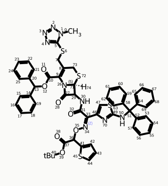 Cn1nnnc1SCC1=C(C(=O)OC(c2ccccc2)c2ccccc2)N2C(=O)C(NC(=O)/C(=N\OC(C(=O)OC(C)(C)C)c3cccs3)c3csc(NC(c4ccccc4)(c4ccccc4)c4ccccc4)n3)[C@@H]2SC1